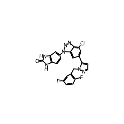 O=c1[nH]c2ccc(-n3nnc4c(Cl)cc(-c5ccnn5Cc5cc(F)ccc5F)cc43)cc2[nH]1